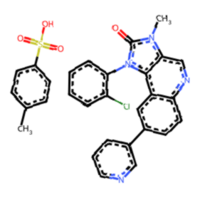 Cc1ccc(S(=O)(=O)O)cc1.Cn1c(=O)n(-c2ccccc2Cl)c2c3cc(-c4cccnc4)ccc3ncc21